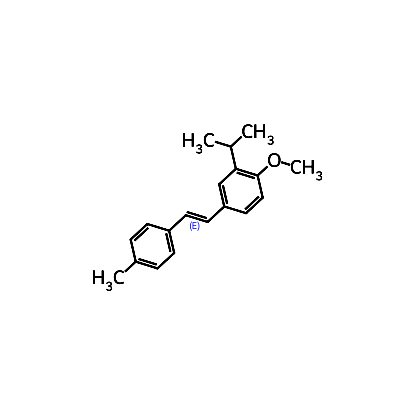 COc1ccc(/C=C/c2ccc(C)cc2)cc1C(C)C